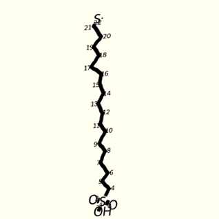 O=S(=O)(O)CCCCCCCCCCCCCCCCCC[S]